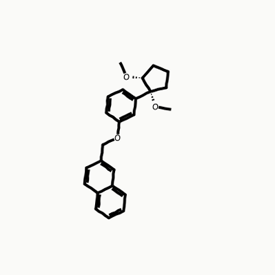 CO[C@@H]1CCC[C@@]1(OC)c1cccc(OCc2ccc3ccccc3c2)c1